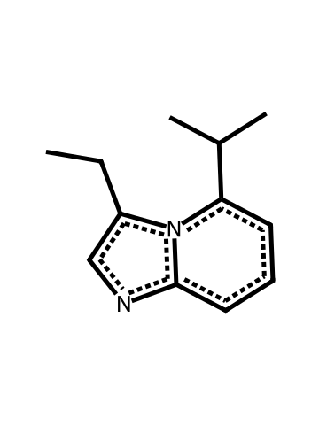 CCc1cnc2cccc(C(C)C)n12